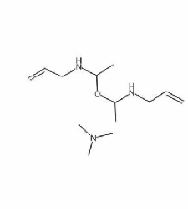 C=CCNC(C)OC(C)NCC=C.CN(C)C